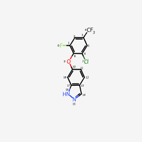 Fc1cc(C(F)(F)F)cc(Cl)c1Oc1ccc2cn[nH]c2c1